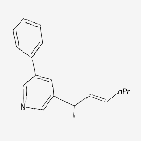 CCCC=CC(C)c1cncc(-c2ccccc2)c1